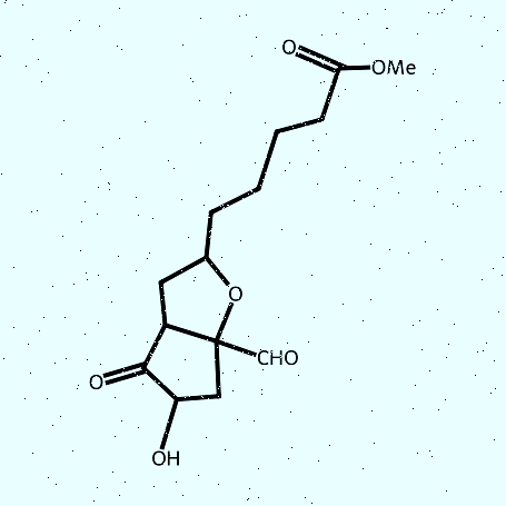 COC(=O)CCCCC1CC2C(=O)C(O)CC2(C=O)O1